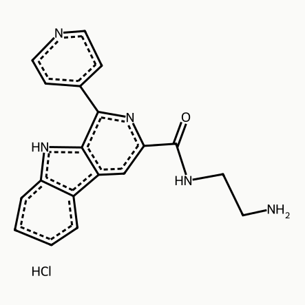 Cl.NCCNC(=O)c1cc2c([nH]c3ccccc32)c(-c2ccncc2)n1